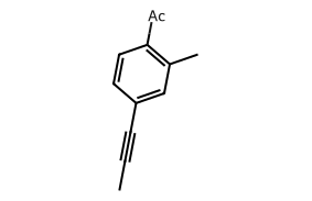 CC#Cc1ccc(C(C)=O)c(C)c1